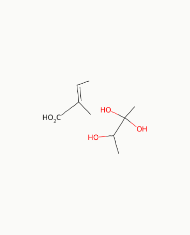 CC(O)C(C)(O)O.CC=C(C)C(=O)O